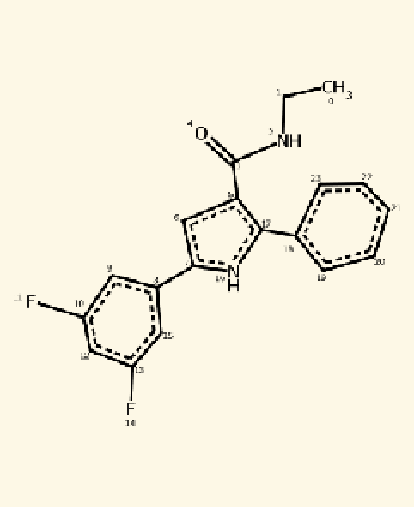 CCNC(=O)c1cc(-c2cc(F)cc(F)c2)[nH]c1-c1ccccc1